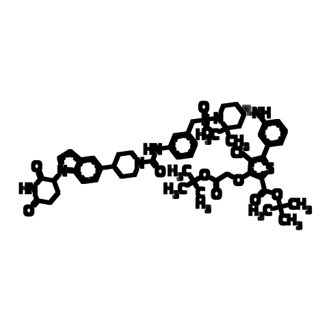 CC(C)(C)OC(=O)COc1c(C(=O)OC(C)(C)C)sc(-c2cccc(N[C@H]3CCN(S(=O)(=O)Cc4cccc(NC(=O)N5CCC(c6ccc7c(ccn7C7CCC(=O)NC7=O)c6)CC5)c4)C(C)(C)C3)c2)c1Cl